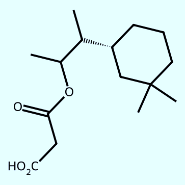 CC(OC(=O)CC(=O)O)C(C)[C@@H]1CCCC(C)(C)C1